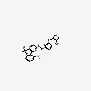 Cc1ccccc1-c1nc(NSc2cccc(OC3COCC3O)n2)ccc1C(F)(F)F